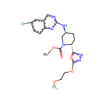 CC(C)(C)OC(=O)N1C[C@@H](Nc2ncc3cc(Cl)ccc3n2)CC[C@@H]1c1nnc(OCCOC(F)(F)F)o1